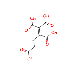 O=C(O)C=CC(C(=O)O)=C(C(=O)O)C(=O)O